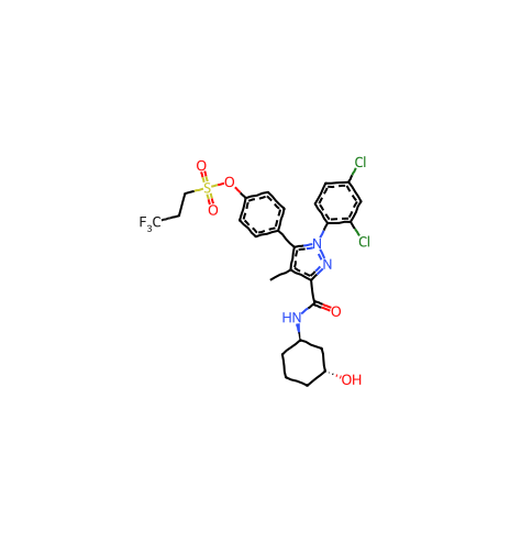 Cc1c(C(=O)N[C@@H]2CCC[C@@H](O)C2)nn(-c2ccc(Cl)cc2Cl)c1-c1ccc(OS(=O)(=O)CCC(F)(F)F)cc1